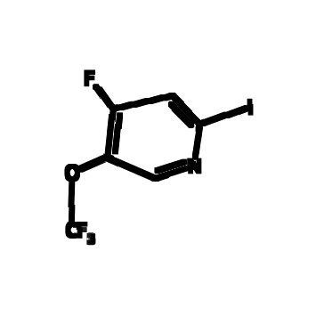 Fc1cc(I)ncc1OC(F)(F)F